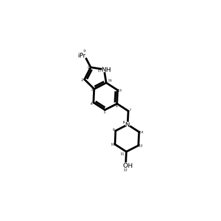 CC(C)c1cc2ccc(CN3CCC(O)CC3)cc2[nH]1